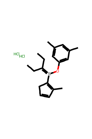 CC[C](CC)=[Ti]([O]c1cc(C)cc(C)c1)[C]1=C(C)C=CC1.Cl.Cl